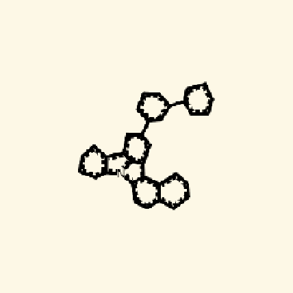 c1ccc(-c2cccc(-c3cc4c5ccccc5n5c6ccc7ccccc7c6c(c3)c45)c2)cc1